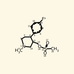 CN1CCC(c2ccc(F)cc2)C(COS(C)(=O)=O)C1